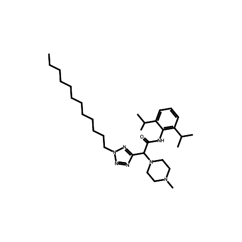 CCCCCCCCCCCCn1nnc(C(C(=O)Nc2c(C(C)C)cccc2C(C)C)N2CCN(C)CC2)n1